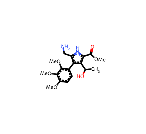 COC(=O)c1[nH]c(CN)c(-c2ccc(OC)c(OC)c2OC)c1C(C)O